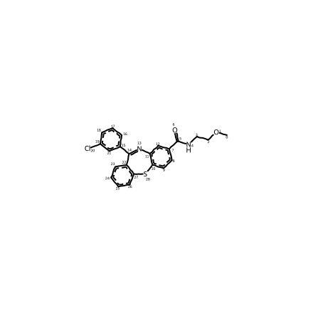 COCCNC(=O)c1ccc2c(c1)N=C(c1cccc(Cl)c1)c1ccccc1S2